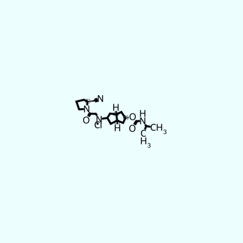 CC(C)NC(=O)O[C@H]1C[C@H]2CC(N(Cl)CC(=O)N3CCC[C@H]3C#N)C[C@H]2C1